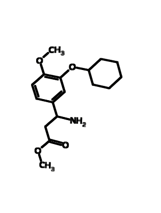 COC(=O)CC(N)c1ccc(OC)c(OC2CCCCC2)c1